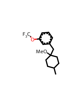 COC1(Cc2cccc(OC(F)(F)F)c2)CCC(C)CC1